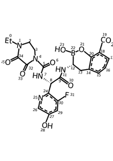 CCN1CCN(C(=O)N[C@H](C(=O)N[C@H]2Cc3cccc(C(=O)O)c3OB2O)c2ncc(O)cc2F)C(=O)C1=O